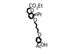 CCCc1c(OCCCCCOc2ccc(C(C)=O)c(O)c2)ccc2c1OC(C(=O)OCC)CC2